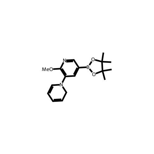 COc1ncc(B2OC(C)(C)C(C)(C)O2)cc1N1C=CC=CC1